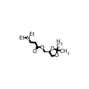 CCN(CC)CCC(=O)OC[C@@H]1COC(C)(C)O1